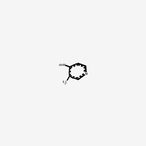 CNc1ccn[c]c1C(F)(F)F